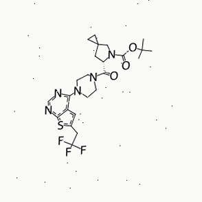 CC(C)(C)OC(=O)N1CC2(CC2)C[C@H]1C(=O)N1CCN(c2ncnc3sc(CC(F)(F)F)cc23)CC1